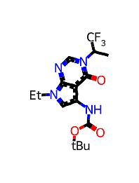 CCn1cc(NC(=O)OC(C)(C)C)c2c(=O)n(C(C)C(F)(F)F)cnc21